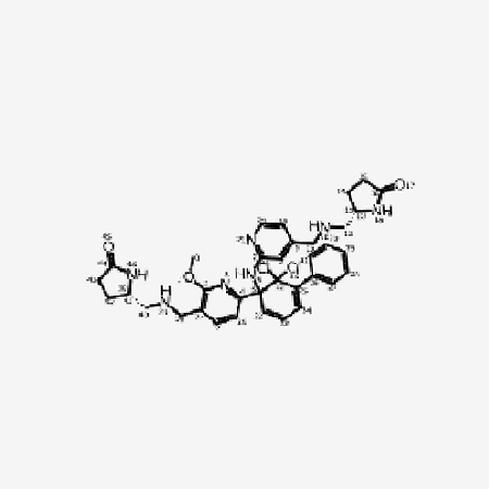 COc1nc(C2(Nc3cc(CNC[C@@H]4CCC(=O)N4)ccn3)C=CC=C(c3ccccc3)C2(Cl)Cl)ccc1CNC[C@@H]1CCC(=O)N1